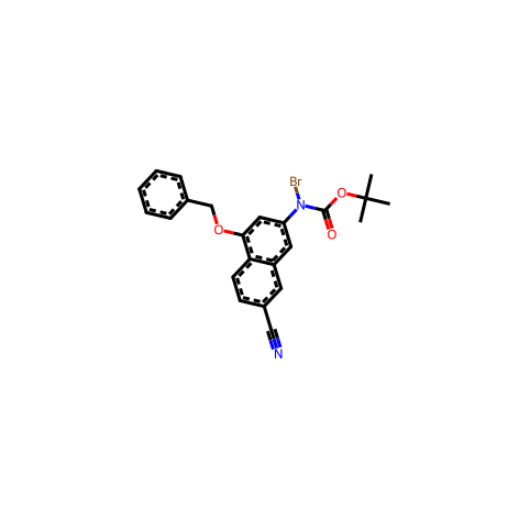 CC(C)(C)OC(=O)N(Br)c1cc(OCc2ccccc2)c2ccc(C#N)cc2c1